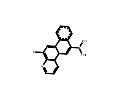 OB(O)C1=CC2C(=CC(Cl)=C3N=CC=CC32)c2ccccc21